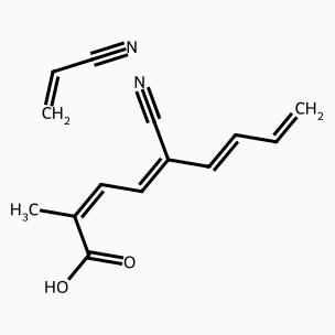 C=CC#N.C=CC=CC(C#N)=CC=C(C)C(=O)O